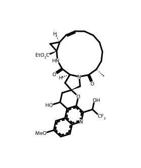 CCOC(=O)[C@@]12C[C@H]1/C=C\CCCCC[C@H](C)C(=O)N1C[C@@]3(CC(O)c4c(c(C(O)C(F)(F)F)nc5ccc(OC)cc45)O3)C[C@H]1C(=O)N2